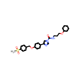 CS(=O)(=O)c1ccc(COc2ccc(-c3cn(C(=O)NCCCOc4ccccc4)cn3)cc2)cc1